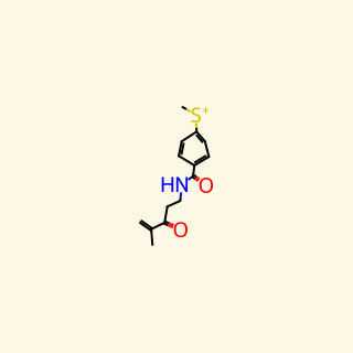 C=C(C)C(=O)CCNC(=O)c1ccc([S+](C)C)cc1